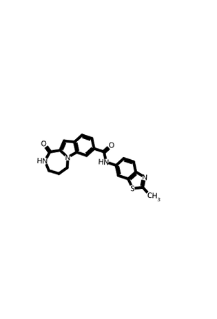 Cc1nc2ccc(NC(=O)c3ccc4cc5n(c4c3)CCCNC5=O)cc2s1